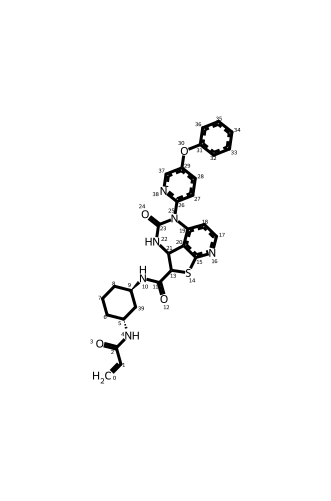 C=CC(=O)N[C@@H]1CCC[C@@H](NC(=O)C2Sc3nccc4c3C2NC(=O)N4c2ccc(Oc3ccccc3)cn2)C1